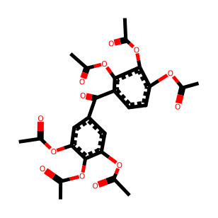 CC(=O)Oc1cc(C(=O)c2ccc(OC(C)=O)c(OC(C)=O)c2OC(C)=O)cc(OC(C)=O)c1OC(C)=O